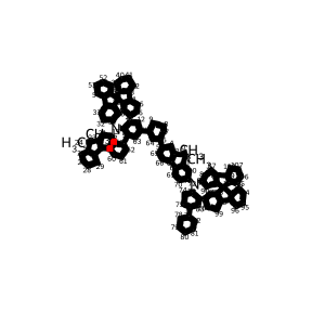 CC1(C)c2cc(-c3cccc(-c4ccc(N(c5ccc6c(c5)C(C)(C)c5ccccc5-6)c5ccc6c(c5)C5(c7ccccc7-c7ccccc75)c5ccccc5-6)c(-c5ccccc5)c4)c3)ccc2-c2ccc(N(c3ccc(-c4ccccc4)cc3)c3ccc4c(c3)C3(c5ccccc5-c5ccccc53)c3ccccc3-4)cc21